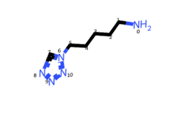 NCCCCCn1cnnn1